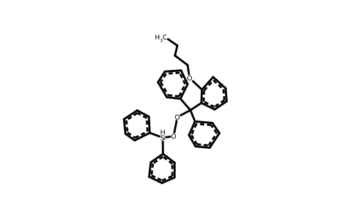 CCCCOc1ccccc1C(OO[SiH](c1ccccc1)c1ccccc1)(c1ccccc1)c1ccccc1